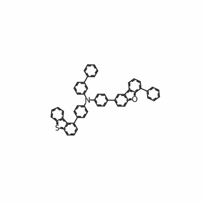 c1ccc(-c2cccc(N(c3ccc(-c4ccc5oc6c(-c7ccccc7)cccc6c5c4)cc3)c3ccc(-c4cccc5sc6ccccc6c45)cc3)c2)cc1